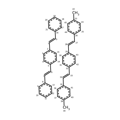 C(=Cc1ccc(C=Cc2ccccc2)cc1)c1ccccc1.Cc1ccc(C=Cc2ccc(C=Cc3ccc(C)cc3)cc2)cc1